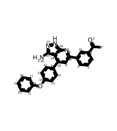 CC(=O)c1cccc(-c2cc(-c3ccc(Oc4ccccc4)cc3)c3c(N)n[nH]c3n2)c1